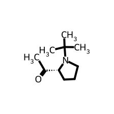 CC(=O)[C@H]1CCCN1C(C)(C)C